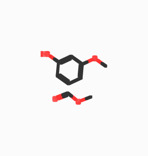 COC=O.COc1cccc(O)c1